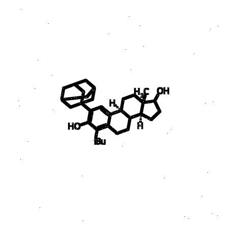 CCC(C)c1c(O)c(C23CC4CC(CC(C4)C2)C3)cc2c1CCC1[C@@H]2CCC2(C)C(O)CC[C@@H]12